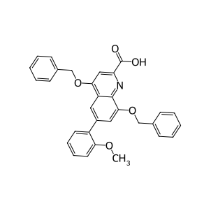 COc1ccccc1-c1cc(OCc2ccccc2)c2nc(C(=O)O)cc(OCc3ccccc3)c2c1